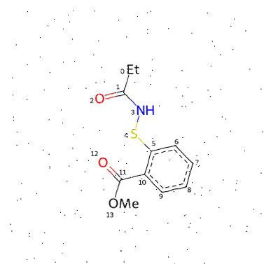 CCC(=O)NSc1ccccc1C(=O)OC